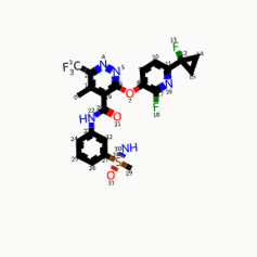 Cc1c(C(F)(F)F)nnc(Oc2ccc(C3(F)CC3)nc2F)c1C(=O)Nc1cccc(S(C)(=N)=O)c1